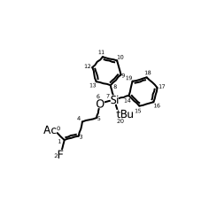 CC(=O)/C(F)=C\CCO[Si](c1ccccc1)(c1ccccc1)C(C)(C)C